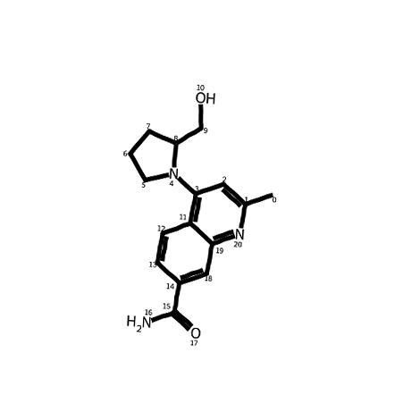 Cc1cc(N2CCCC2CO)c2ccc(C(N)=O)cc2n1